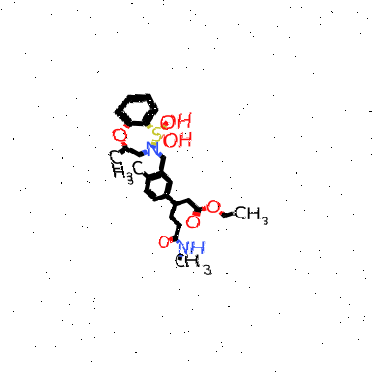 CCOC(=O)CC(CCC(=O)NC)c1ccc(C)c(CN2CC(C)Oc3ccccc3S2(O)O)c1